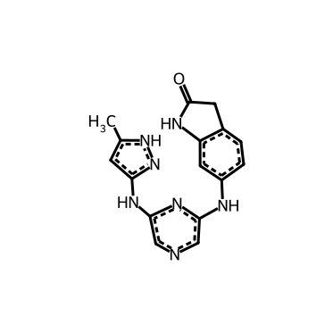 Cc1cc(Nc2cncc(Nc3ccc4c(c3)NC(=O)C4)n2)n[nH]1